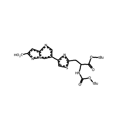 CC(C)(C)OC(=O)NC(Cc1nc(-c2cnc3cc(C(=O)O)nn3c2)cs1)C(=O)OC(C)(C)C